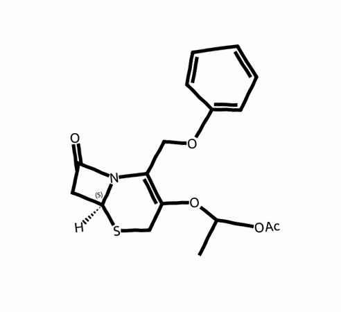 CC(=O)OC(C)OC1=C(COc2ccccc2)N2C(=O)C[C@@H]2SC1